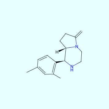 C=C1CC[C@H]2[C@H](c3ccc(C)cc3C)NCCN12